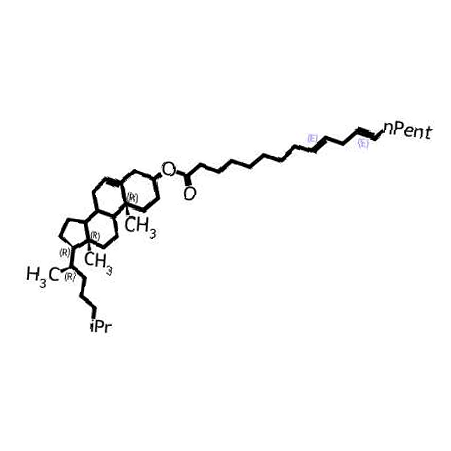 CCCCC/C=C/C/C=C/CCCCCCCC(=O)OC1CC[C@@]2(C)C(=CCC3C2CC[C@@]2(C)C3CC[C@@H]2[C@H](C)CCCC(C)C)C1